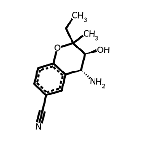 CCC1(C)Oc2ccc(C#N)cc2[C@@H](N)[C@@H]1O